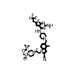 CNc1nc(NC2CCN(Cc3ccc4c(cc(C#N)n4C[C@H](C)N4CCN([S+](C)[O-])[C@H](C(=O)N(C)C)C4)c3C)CC2)c2cc(CC(F)(F)F)sc2n1